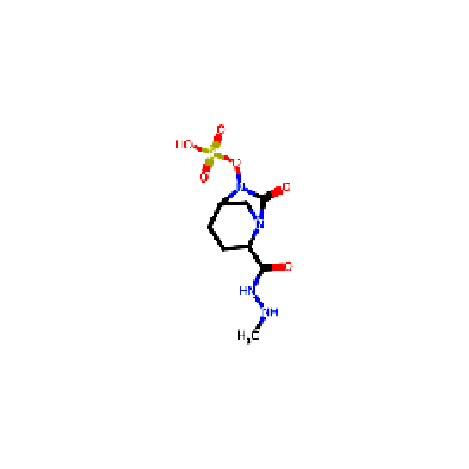 CNNC(=O)C1CCC2CN1C(=O)N2OS(=O)(=O)O